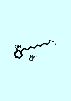 CCCCCCCCCc1ccccc1O.[Cl-].[Na+]